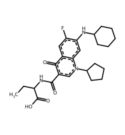 CCC(NC(=O)c1cn(C2CCCC2)c2cc(NC3CCCCC3)c(F)cc2c1=O)C(=O)O